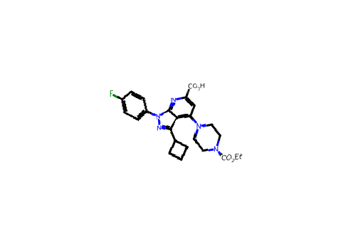 CCOC(=O)N1CCN(c2cc(C(=O)O)nc3c2c(C2CCC2)nn3-c2ccc(F)cc2)CC1